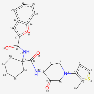 Cc1sccc1N1CCC(NC(=O)C2(NC(=O)c3cc4ccccc4o3)CCCCC2)C(=O)C1